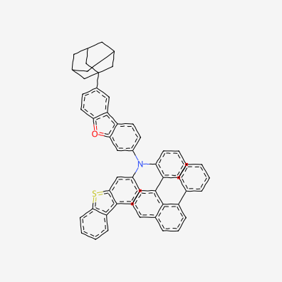 c1ccc(-c2cccc3cccc(-c4ccccc4N(c4ccc5c(c4)oc4ccc(C67CC8CC(CC(C8)C6)C7)cc45)c4ccc5c(c4)sc4ccccc45)c23)cc1